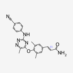 Cc1cc(/C=C/C(N)=O)cc(C)c1Oc1nc(Nc2ccc(C#N)cc2)nnc1C